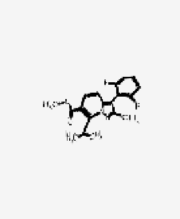 COC(=O)c1ccc2c(-c3c(F)cccc3F)c(C)nn2c1C(C)C